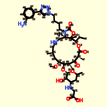 CC[C@H]1OC(=O)[C@H](C)C(=O)[C@H](C)[C@@H](O[C@@H]2OC(C)CC(NCC(=O)O)C2O)[C@H](OC)C[C@@H](C)CN[C@H](C)[C@H]2N(CCCCn3cc(-c4cccc(N)c4)nn3)C(=O)O[C@]12C